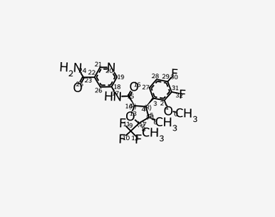 COc1c([C@H]2[C@@H](C)[C@@](C)(C(F)(F)F)O[C@H]2C(=O)Nc2cncc(C(N)=O)c2)ccc(F)c1F